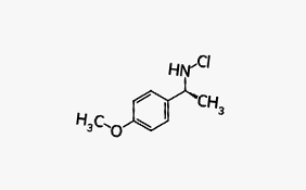 COc1ccc([C@H](C)NCl)cc1